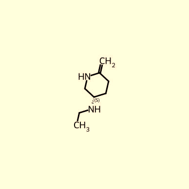 C=C1CC[C@H](NCC)CN1